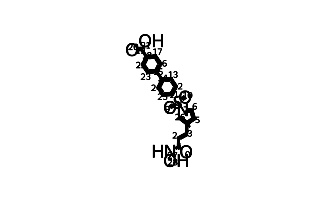 O=C(C=Cc1ccn(S(=O)(=O)c2ccc(-c3ccc(C(=O)O)cc3)cc2)c1)NO